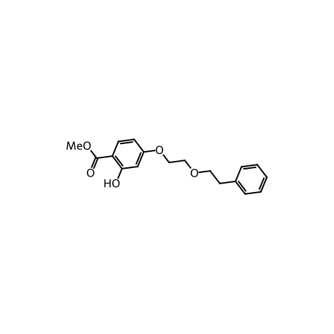 COC(=O)c1ccc(OCCOCCc2ccccc2)cc1O